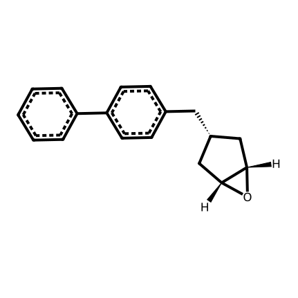 c1ccc(-c2ccc(C[C@@H]3C[C@@H]4O[C@@H]4C3)cc2)cc1